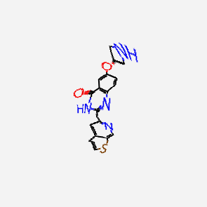 O=c1[nH]c(-c2cc3ccsc3cn2)nc2ccc(OC3CNC3)cc12